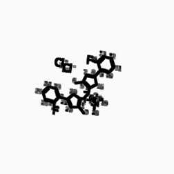 CC1=[C]([Zr+2]([C]2=C(C)C=C(c3ccccc3F)C2)=[Si](C)C)CC(c2ccccc2F)=C1.[Cl-].[Cl-]